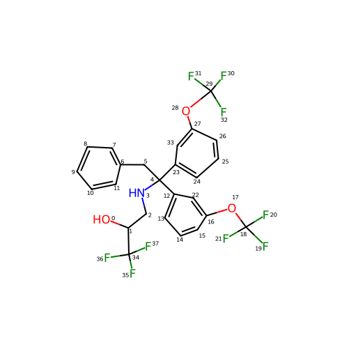 OC(CNC(Cc1ccccc1)(c1cccc(OC(F)(F)F)c1)c1cccc(OC(F)(F)F)c1)C(F)(F)F